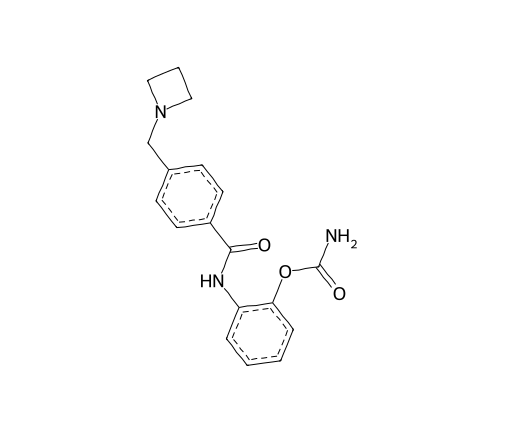 NC(=O)Oc1ccccc1NC(=O)c1ccc(CN2CCC2)cc1